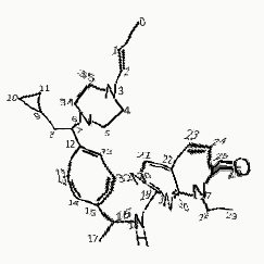 CC=CN1CCN(C(CC2CC2)c2ccc(C(C)Nc3ncc4ccc(=O)n(CC)c4n3)cc2)CC1